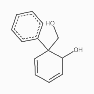 OCC1(c2ccccc2)C=CC=CC1O